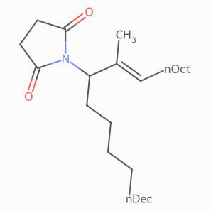 CCCCCCCC/C=C(\C)C(CCCCCCCCCCCCCC)N1C(=O)CCC1=O